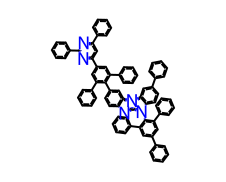 c1ccc(-c2cc(-c3ccccc3)c(-n3c4ccc(-c5ccccc5)cc4n4c5cc(-c6c(-c7ccccc7)cc(-c7cc(-c8ccccc8)nc(-c8ccccc8)n7)cc6-c6ccccc6)ccc5nc34)c(-c3ccccc3)c2)cc1